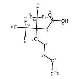 COCCOC(CC(=O)O)(C(F)(F)F)C(F)(F)F